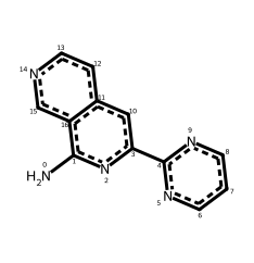 Nc1nc(-c2ncccn2)cc2ccncc12